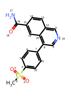 CS(=O)(=O)c1ccc(-c2cncc3ccc(C(N)=O)cc23)cc1